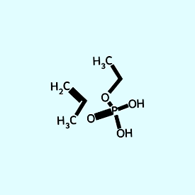 C=CC.CCOP(=O)(O)O